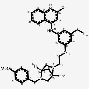 COc1ccc(CN2C[C@@H]3C[C@H]2CN3CCOc2cc(CF)cc(Nc3cc(C)nc4ccccc34)c2)cc1